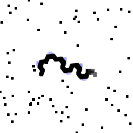 CC/C=C\C/C=C\C/C=C\C/C=C\C/C=C\C/C=C\N